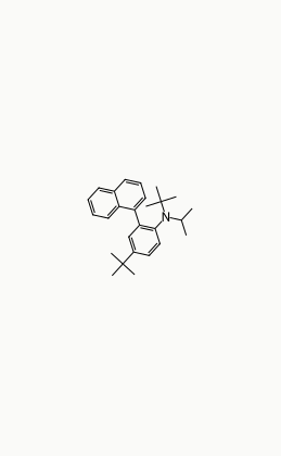 CC(C)N(c1ccc(C(C)(C)C)cc1-c1cccc2ccccc12)C(C)(C)C